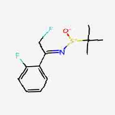 CC(C)(C)[S+]([O-])/N=C(\CF)c1ccccc1F